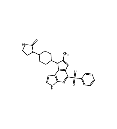 Cc1nc2c(S(=O)(=O)c3ccccc3)nc3[nH]ccc3c2n1C1CCC(N2CCNC2=O)CC1